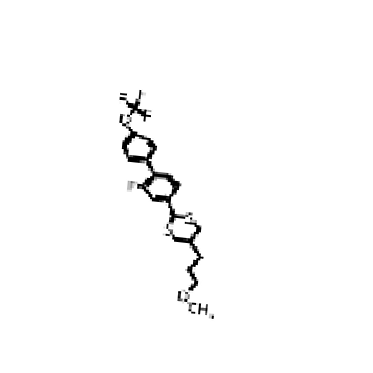 COCCCC1CSC(c2ccc(-c3ccc(OC(F)(F)F)cc3)c(F)c2)SC1